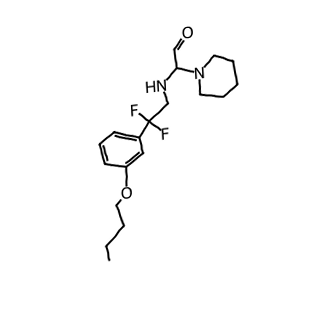 CCCCOc1cccc(C(F)(F)CNC(C=O)N2CCCCC2)c1